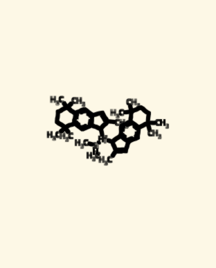 CC1=Cc2cc3c(cc2[CH]1[Hf]([CH]1C(C)=Cc2cc4c(cc21)C(C)(C)CCC4(C)C)[SiH](C)C)C(C)(C)CCC3(C)C